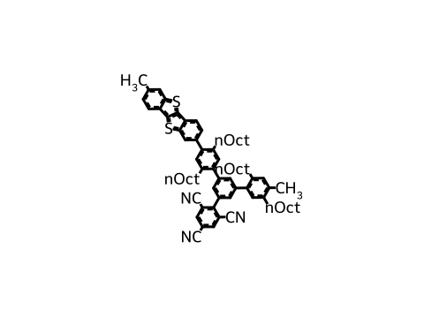 CCCCCCCCc1cc(-c2cc(-c3cc(CCCCCCCC)c(-c4ccc5c(c4)sc4c6ccc(C)cc6sc54)cc3CCCCCCCC)cc(-c3c(C#N)cc(C#N)cc3C#N)c2)c(CCCCCCCC)cc1C